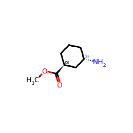 COC(=O)[C@H]1CCC[C@H](N)C1